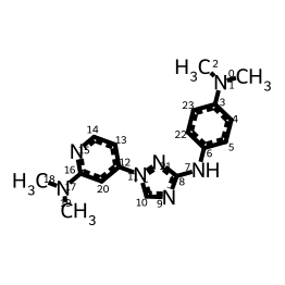 CN(C)c1ccc(Nc2ncn(-c3ccnc(N(C)C)c3)n2)cc1